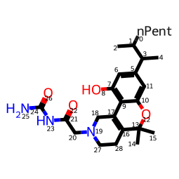 CCCCCC(C)C(C)c1cc(O)c2c(c1)OC(C)(C)C1=C2CN(CC(=O)NC(N)=O)CC1